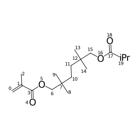 C=C(C)C(=O)OCC(C)(C)CCC(C)(C)COC(=O)C(C)C